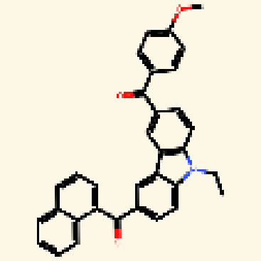 CCn1c2ccc(C(=O)c3ccc(OC)cc3)cc2c2cc(C(=O)c3cccc4ccccc34)ccc21